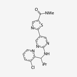 CNC(=O)c1cnc(-c2cnc(NC(c3ncccc3Cl)C(C)C)nc2)s1